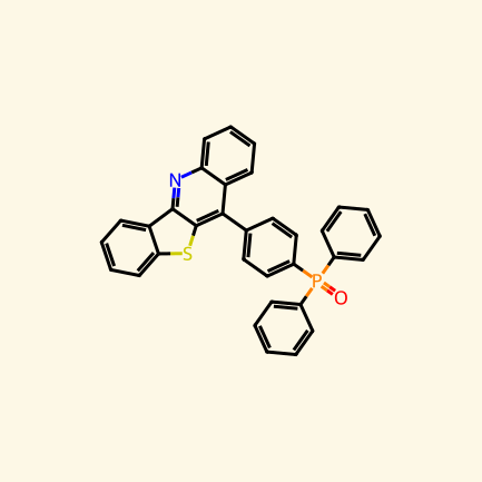 O=P(c1ccccc1)(c1ccccc1)c1ccc(-c2c3ccccc3nc3c2sc2ccccc23)cc1